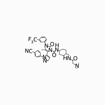 Cc1c(-c2ccnn2-c2ccc(C#N)cc2)n(C(=O)NC2CCC(CNC(=O)CN(C)C)CC2)c(=O)n1-c1cccc(C(F)(F)F)c1